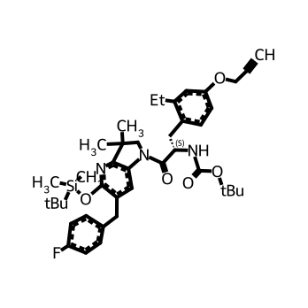 C#CCOc1ccc(C[C@H](NC(=O)OC(C)(C)C)C(=O)N2CC(C)(C)c3nc(O[Si](C)(C)C(C)(C)C)c(Cc4ccc(F)cc4)cc32)c(CC)c1